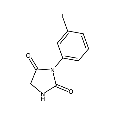 O=C1CNC(=O)N1c1cccc(I)c1